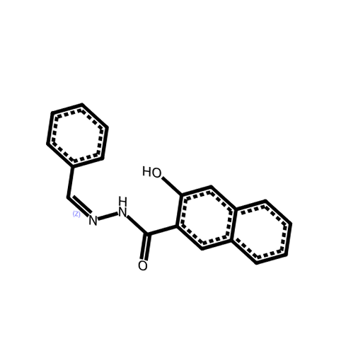 O=C(N/N=C\c1ccccc1)c1cc2ccccc2cc1O